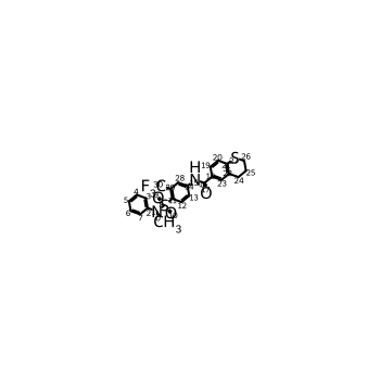 CN(c1ccccc1)S(=O)(=O)c1ccc(NC(=O)c2ccc3c(c2)CCCS3)cc1C(F)(F)F